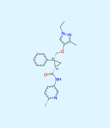 CCn1cc(OC[C@]2(c3ccccc3)C[C@@H]2C(=O)Nc2ccc(F)nc2)c(C)n1